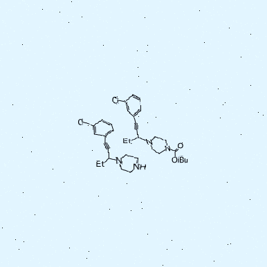 CCC(C#Cc1cccc(Cl)c1)N1CCN(C(=O)OCC(C)C)CC1.CCC(C#Cc1cccc(Cl)c1)N1CCNCC1